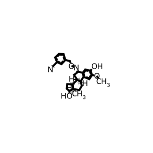 COc1cc2c(cc1O)C(=NOCc1cccc(C#N)c1)C[C@@H]1[C@@H]2CC[C@]2(C)[C@H](O)CC[C@@H]12